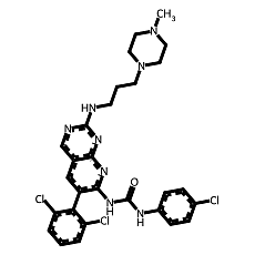 CN1CCN(CCCNc2ncc3cc(-c4c(Cl)cccc4Cl)c(NC(=O)Nc4ccc(Cl)cc4)nc3n2)CC1